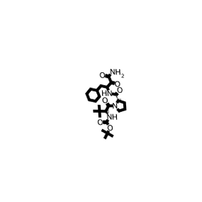 CC(C)(C)OC(=O)N[C@H](C(=O)N1CCC[C@H]1C(=O)NC(CC1CCCCC1)C(=O)C(N)=O)C(C)(C)C